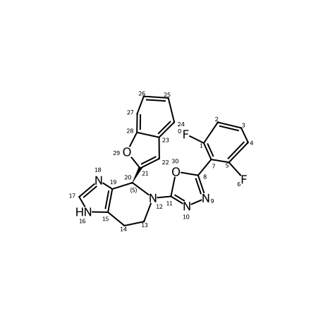 Fc1cccc(F)c1-c1nnc(N2CCc3[nH]cnc3[C@H]2c2cc3ccccc3o2)o1